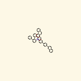 c1ccc(-c2ccccc2-c2c(-c3ccccc3)cccc2N(c2ccc(-c3ccc(-c4ccc5ccccc5c4)cc3)cc2)c2ccc3c(ccc4ccccc43)c2)cc1